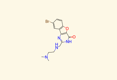 CN(C)CCNCc1nc2c(oc3ccc(Br)cc32)c(=O)[nH]1